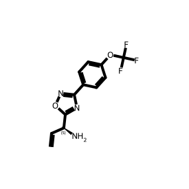 C=C[C@H](N)c1nc(-c2ccc(OC(F)(F)F)cc2)no1